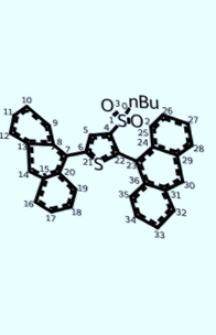 CCCCS(=O)(=O)c1cc(-c2c3ccccc3cc3ccccc23)sc1-c1c2ccccc2cc2ccccc12